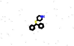 c1ccc(C(SC2CCNCC2)c2ccccc2)cc1